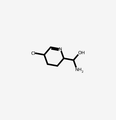 NC(O)C1CCC(Cl)C=N1